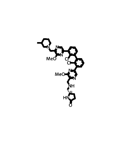 COc1nc(-c2cccc(-c3cccc(-c4cnc(CN5CCCC(C)C5)c(OC)n4)c3Cl)c2Cl)cnc1CNC[C@@H]1CCC(=O)N1